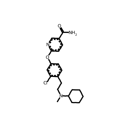 CN(CCc1ccc(Oc2ccc(C(N)=O)cn2)cc1Cl)C1CCCCC1